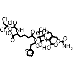 CO[C@@]1(N(C(=O)CCCC(NC(=O)OC(Cl)(Cl)CCl)C(=O)O)C(=O)Cc2cccs2)C(=O)N2C(C(=O)O)=C(COC(N)=O)CS[C@@H]21